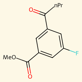 CCCC(=O)c1cc(F)cc(C(=O)OC)c1